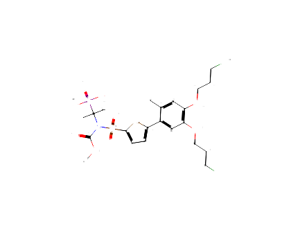 CCC(CC)(N(C(=O)OC(C)(C)C)S(=O)(=O)c1ccc(-c2cc(OCCCCl)c(OCCCCl)cc2C)s1)P(=O)(O)O